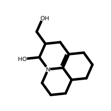 OCC1CC2=C3C(CCC2)CCCN3C1O